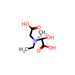 CCN(CC(=O)O)[C@@](C)(O)C(=O)O